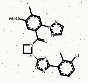 COc1cc(C(=O)N2CC[C@H]2c2nc(-c3cccc(Cl)c3C)no2)c(-n2nccn2)cc1C